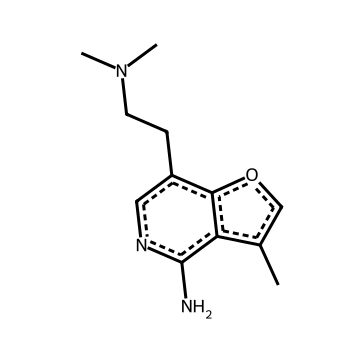 Cc1coc2c(CCN(C)C)cnc(N)c12